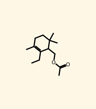 CCC1=C(C)CCC(C)(C)C1COC(C)=O